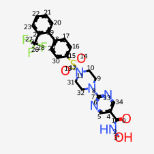 O=C(NO)c1cnc(N2CCN(S(=O)(=O)c3ccc(-c4ccccc4C(F)(F)F)cc3)CC2)nc1